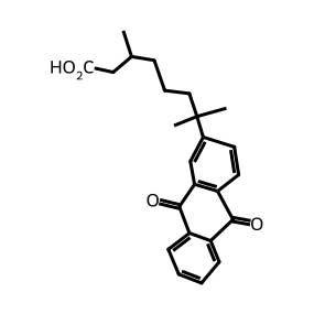 CC(CCCC(C)(C)c1ccc2c(c1)C(=O)c1ccccc1C2=O)CC(=O)O